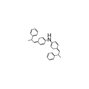 CC(C=C1C=CC(NC2=CCC(=CC(C)c3ccccc3)C=C2)=CC1)c1ccccc1